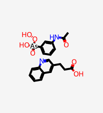 CC(=O)Nc1cccc([As](=O)(O)OO)c1.O=C(O)CCc1cnc2ccccc2c1